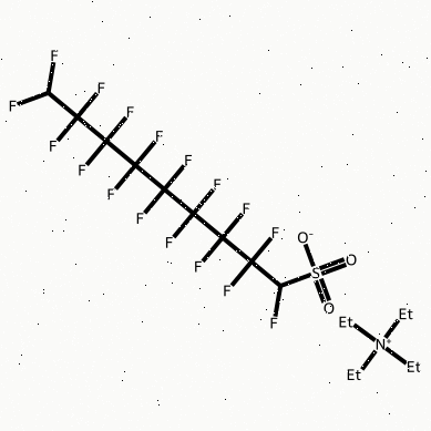 CC[N+](CC)(CC)CC.O=S(=O)([O-])C(F)C(F)(F)C(F)(F)C(F)(F)C(F)(F)C(F)(F)C(F)(F)C(F)(F)C(F)F